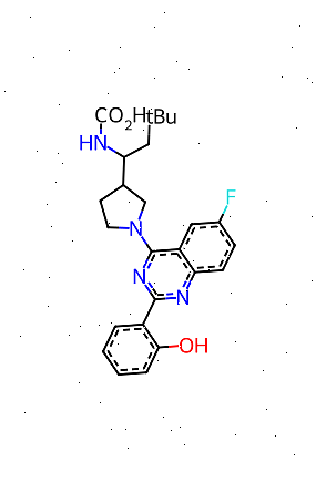 CC(C)(C)CC(NC(=O)O)C1CCN(c2nc(-c3ccccc3O)nc3ccc(F)cc23)C1